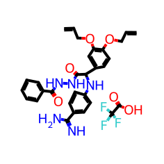 C=CCOc1ccc(C(Nc2ccc(C(=N)N)cc2)C(=O)NNC(=O)c2ccccc2)cc1OCC=C.O=C(O)C(F)(F)F